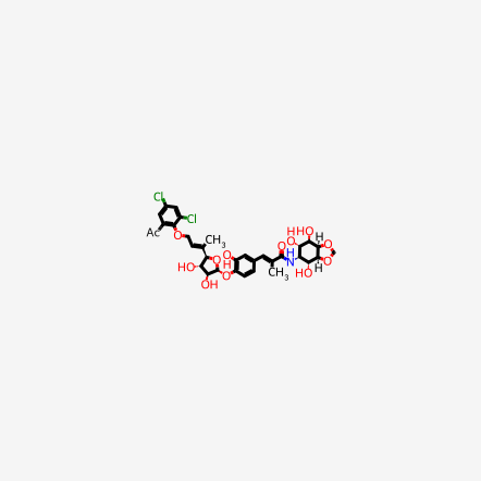 CC(=O)c1cc(Cl)cc(Cl)c1OC/C=C(\C)[C@H]1O[C@@H](Oc2ccc(/C=C(\C)C(=O)N[C@@H]3[C@H](O)[C@@H](O)[C@H]4OCO[C@H]4[C@@H]3O)cc2O)[C@@H](O)[C@@H]1O